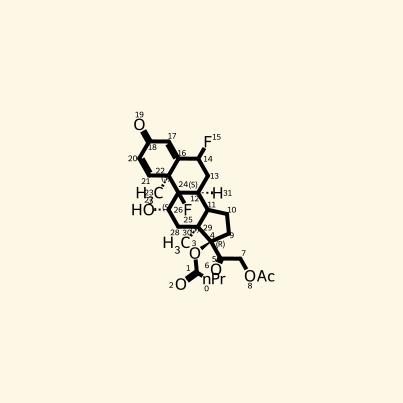 CCCC(=O)O[C@]1(C(=O)COC(C)=O)CCC2[C@@H]3CC(F)C4=CC(=O)C=C[C@]4(C)C3(F)[C@@H](O)C[C@@]21C